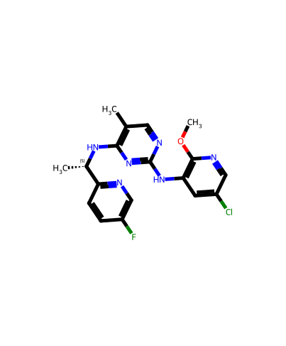 COc1ncc(Cl)cc1Nc1ncc(C)c(N[C@@H](C)c2ccc(F)cn2)n1